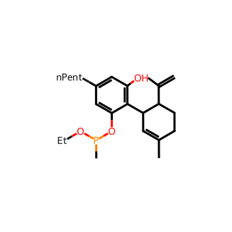 C=C(C)C1CCC(C)=CC1c1c(O)cc(CCCCC)cc1OP(C)OCC